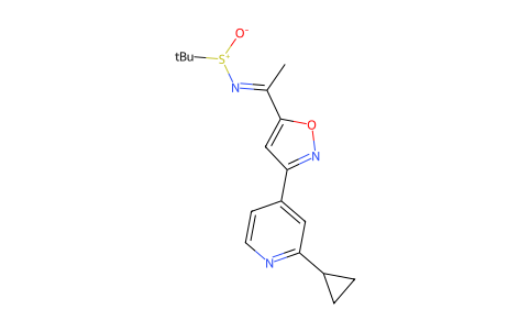 CC(=N[S+]([O-])C(C)(C)C)c1cc(-c2ccnc(C3CC3)c2)no1